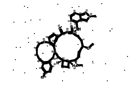 CO[C@H]1/C=C/[C@H](OC)CC[S@@](=O)(Nc2ncnc3nn(C)cc23)=NC(=O)c2ccc3c(c2)N(Cc2ccc(Cl)cc2CCCCO3)C[C@@H]2CC[C@H]21